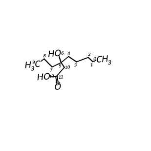 CCCCCC(O)(CCC)CC(=O)O